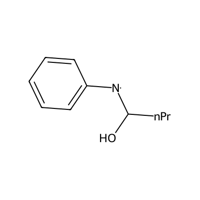 CCCC(O)[N]c1ccccc1